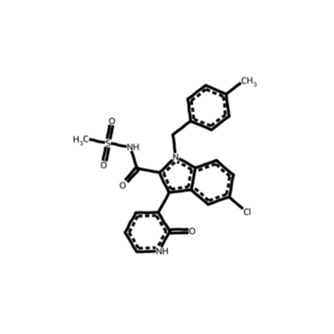 Cc1ccc(Cn2c(C(=O)NS(C)(=O)=O)c(-c3ccc[nH]c3=O)c3cc(Cl)ccc32)cc1